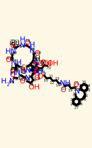 C=C1c2c([nH]c3cc(OCCCCCCNC(=O)CCC(=O)N4Cc5ccccc5C#Cc5ccccc54)ccc23)[S+]([O-])C[C@H]2NC(=O)CNC(=O)[C@H]([C@H](C)CC)NC(=O)CNC(=O)[C@H]1NC(=O)[C@H]([C@@H](C)[C@@H](O)CO)NC(=O)C1C[C@@H](O)CN1C(=O)[C@H](CC(N)=O)NC2=O